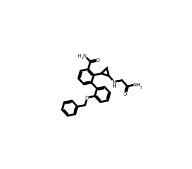 NC(=O)CNC1CC1c1c(C(N)=O)cccc1-c1ccccc1OCc1ccccc1